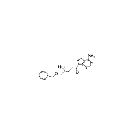 Nc1ncnn2c(C(=O)CCC(O)COCc3ccccc3)ccc12